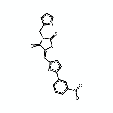 O=C1C(=Cc2ccc(-c3cccc([N+](=O)[O-])c3)o2)SC(=S)N1Cc1ccco1